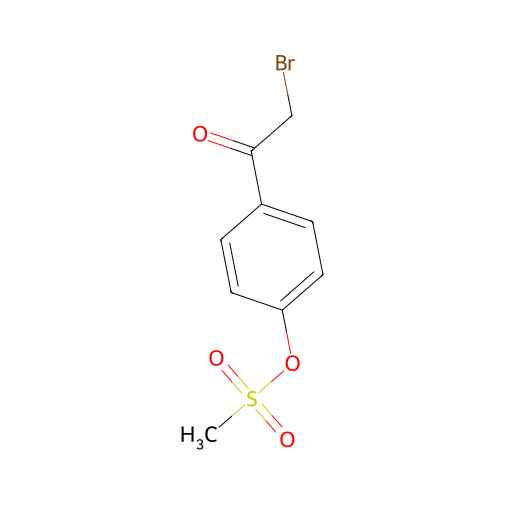 CS(=O)(=O)Oc1ccc(C(=O)CBr)cc1